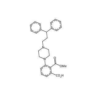 COC(=O)c1c(C(=O)O)cccc1N1CCN(CCC(c2ccccc2)c2ccccc2)CC1